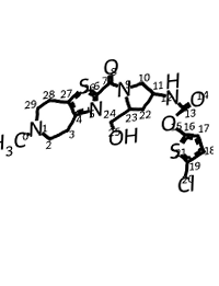 CN1CCc2nc(C(=O)N3CC(NC(=O)Oc4ccc(Cl)s4)CC3CO)sc2CC1